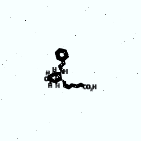 O=C(O)CCC/C=C\C[C@H]1[C@@H](NCCc2ccccc2)[C@@H]2O[C@H]1[C@@H]1O[C@@H]12